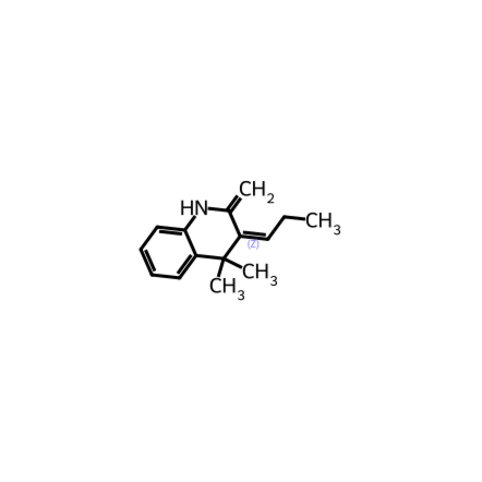 C=C1Nc2ccccc2C(C)(C)/C1=C/CC